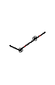 CCCCCCCCCCCCCC(=O)OC(=O)C=CCCCCCCCCCCCCCCCCC(=O)OC(=O)CCCCCCCCCCCCC